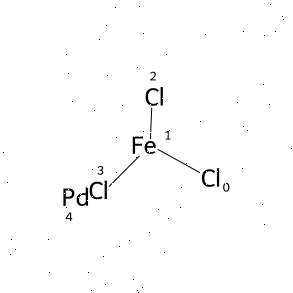 [Cl][Fe]([Cl])[Cl].[Pd]